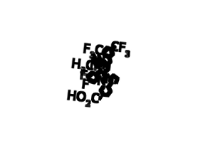 Cn1nnc(N(Cc2cc(C(F)(F)F)cc(C(F)(F)F)c2)Cc2cc3cc(F)c(F)cc3nc2N2CCC[C@@H]2[C@H]2CC[C@H](CC(=O)O)CC2)n1